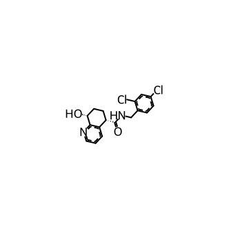 O=C(NCc1ccc(Cl)cc1Cl)[C@H]1CC[C@@H](O)c2ncccc21